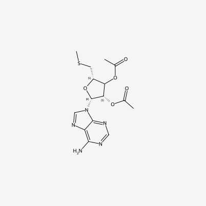 CSC[C@H]1O[C@@H](n2cnc3c(N)ncnc32)[C@@H](OC(C)=O)C1OC(C)=O